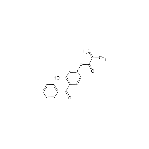 C=C(C)C(=O)Oc1ccc(C(=O)c2ccccc2)c(O)c1